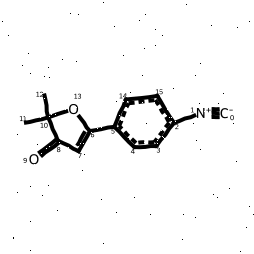 [C-]#[N+]c1ccc(C2=CC(=O)C(C)(C)O2)cc1